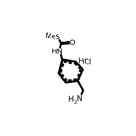 CSC(=O)Nc1ccc(CN)cc1.Cl